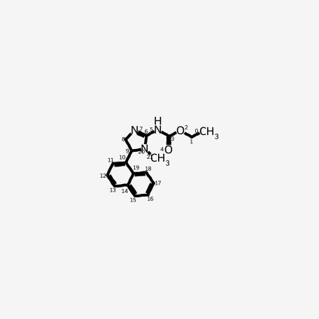 CCOC(=O)NC1=NCC(c2cccc3ccccc23)N1C